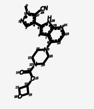 Cn1ncc(-c2cc3c(N4CCN(C(=O)OC5COC5)CC4)ccnc3[nH]2)c1C#N